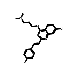 CN(C)CCCNc1nc(C=Cc2ccc(F)cc2)nc2cc(Cl)ccc12